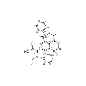 CCCN(C(=O)O)c1cc2c3c(c1)[C@](C)(c1ccccc1)CCN3CC[C@@]2(C)c1ccccc1